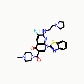 CN1CCN(C(=O)c2cn(-c3nc4ccccc4s3)c3nc(NCCN4CCCC4)c(F)cc3c2=O)CC1